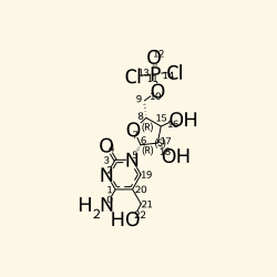 Nc1nc(=O)n([C@@H]2O[C@H](COP(=O)(Cl)Cl)C(O)[C@@H]2O)cc1CO